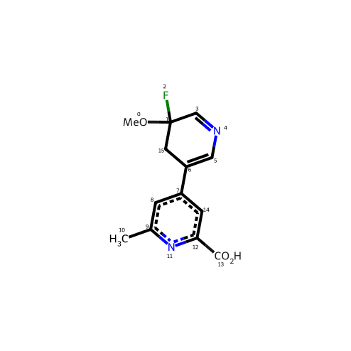 COC1(F)C=NC=C(c2cc(C)nc(C(=O)O)c2)C1